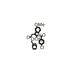 COc1ccc2c(c1)c(CC(=O)OCC1CC3C=CC1C3)c(C)n2C(=O)c1ccc(Cl)cc1